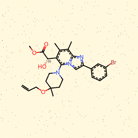 C=CCOC1(C)CCN(c2c([C@H](O)C(=O)OC)c(C)c(C)c3nc(-c4cccc(Br)c4)cn23)CC1